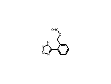 O=[C]OCc1ccccc1-c1nnn[nH]1